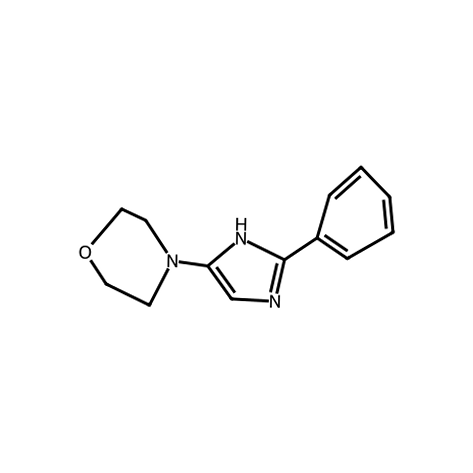 c1ccc(-c2ncc(N3CCOCC3)[nH]2)cc1